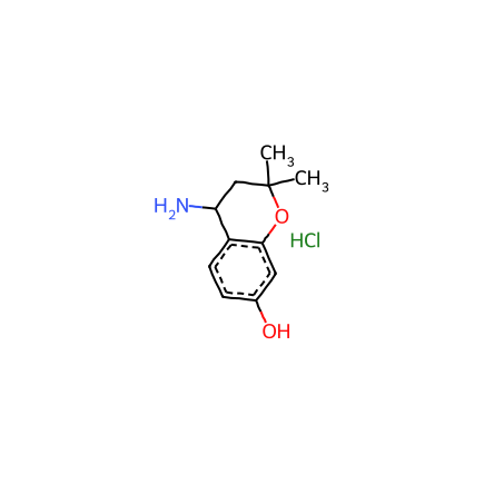 CC1(C)CC(N)c2ccc(O)cc2O1.Cl